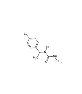 CNC(=O)N(O)C(C)c1ccc(Cl)cc1